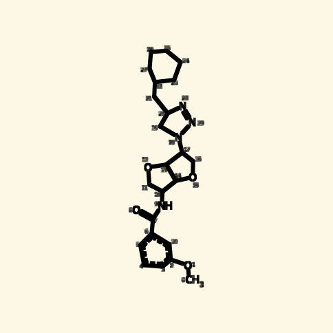 COc1cccc(C(=O)NC2COC3C2OCC3N2CC(CC3CCCCC3)N=N2)c1